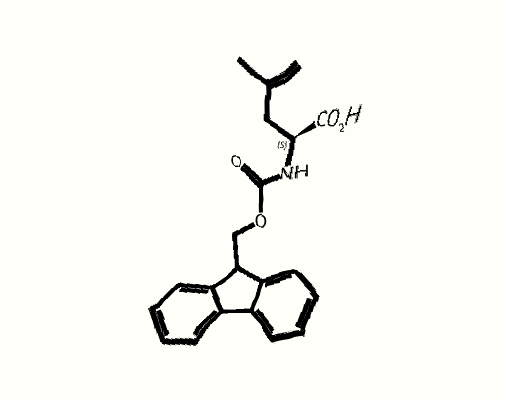 C=C(C)C[C@H](NC(=O)OCC1c2ccccc2-c2ccccc21)C(=O)O